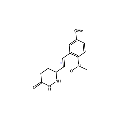 COc1ccc([S+](C)[O-])c(/C=C/C2CCC(=O)NN2)c1